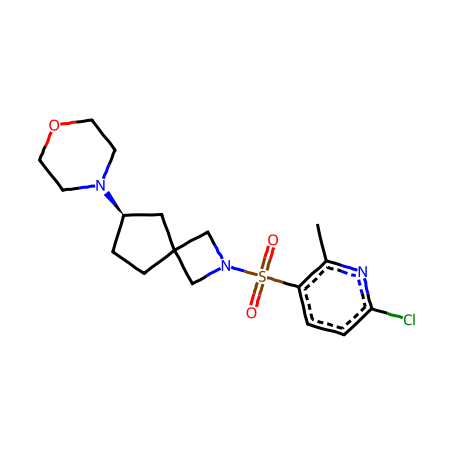 Cc1nc(Cl)ccc1S(=O)(=O)N1CC2(CC[C@@H](N3CCOCC3)C2)C1